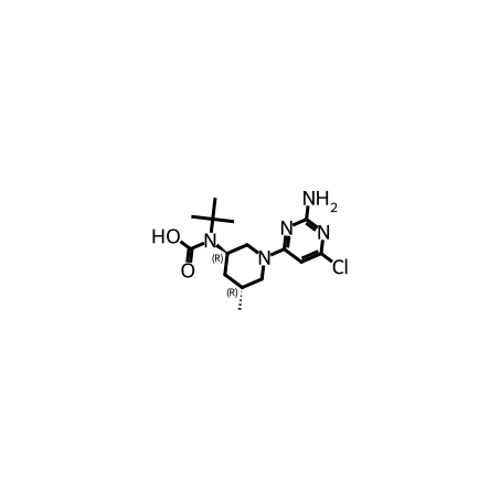 C[C@@H]1C[C@@H](N(C(=O)O)C(C)(C)C)CN(c2cc(Cl)nc(N)n2)C1